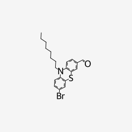 CCCCCCCCN1c2ccc(Br)cc2Sc2cc(C=O)ccc21